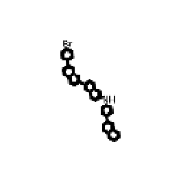 Brc1ccc(-c2ccc3ccc(-c4ccc5cc(Nc6ccc(-c7ccc8ccccc8c7)cc6)ccc5c4)cc3c2)cc1